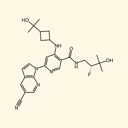 CC(C)(O)C1CC(Nc2cc(-n3ccc4cc(C#N)cnc43)ncc2C(=O)NC[C@@H](F)C(C)(C)O)C1